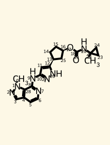 Cn1ncc2ccnc(Nc3cc([C@H]4CC[C@@H](OC(=O)NC5(C)CC5)C4)[nH]n3)c21